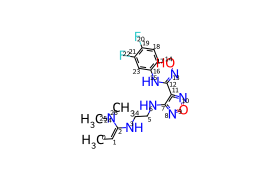 C/C=C(/NCCNc1nonc1/C(=N/O)Nc1ccc(F)c(F)c1)N(C)C